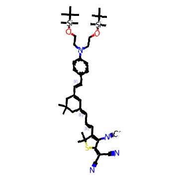 [C-]#[N+]C1=C(/C=C/C=C2C=C(/C=C/c3ccc(N(CCO[Si](C)(C)C(C)(C)C)CCO[Si](C)(C)C(C)(C)C)cc3)CC(C)(C)C/2)C(C)(C)SC1=C(C#N)C#N